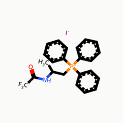 CC(C[P+](c1ccccc1)(c1ccccc1)c1ccccc1)NC(=O)C(F)(F)F.[I-]